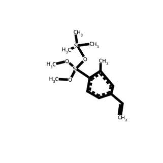 C=Cc1ccc([Si](OC)(OC)O[Si](C)(C)C)c(C)c1